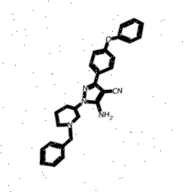 N#Cc1c(-c2ccc(Oc3ccccc3)cc2)nn(C2CCCN(Cc3ccccc3)C2)c1N